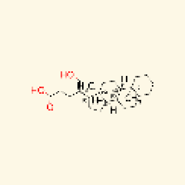 C[C@]12CC[C@H]3[C@@H](CCC4CCCC[C@@]43C)[C@@H]1CC[C@@H]2[C@H](CO)CCC(=O)O